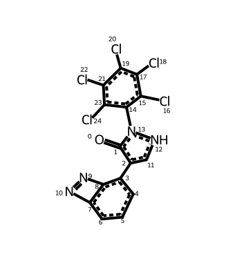 O=c1c(-c2cccc3c2N=N3)c[nH]n1-c1c(Cl)c(Cl)c(Cl)c(Cl)c1Cl